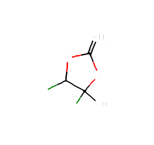 C=C1OC(F)C(C)(F)O1